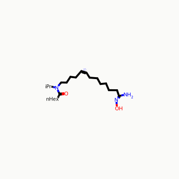 CCCCCCC(=O)N(CCCC/C=C\CCCCCCC(N)=NO)C(C)C